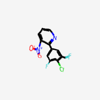 O=[N+]([O-])c1cccnc1-c1cc(F)c(Cl)c(F)c1